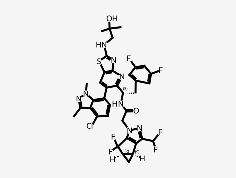 Cc1nn(C)c2c(-c3cc4sc(NCC(C)(C)O)nc4nc3[C@H](Cc3cc(F)cc(F)c3)NC(=O)Cn3nc(C(F)F)c4c3C(F)(F)[C@@H]3C[C@H]43)ccc(Cl)c12